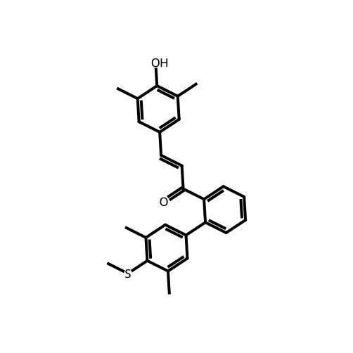 CSc1c(C)cc(-c2ccccc2C(=O)C=Cc2cc(C)c(O)c(C)c2)cc1C